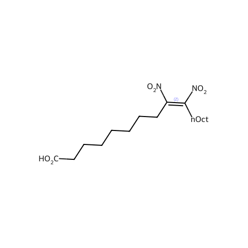 CCCCCCCC/C(=C(\CCCCCCCC(=O)O)[N+](=O)[O-])[N+](=O)[O-]